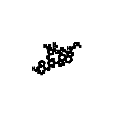 C=CNc1sc2c(c1C#N)[C@@]1(CCC2)CCCc2c(-c3nc(O[C@H]4CN(C)C(C)(C)C4)cc(O[C@@H](C)[C@@H]4CCCN4C)n3)noc21